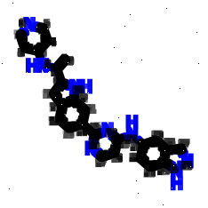 C=C(Nc1ccncc1)c1cc2ccc(-c3nccc(Nc4ccc5[nH]ncc5c4)n3)cc2[nH]1